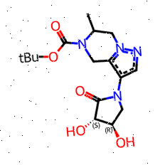 CC1Cn2ncc(N3C[C@@H](O)[C@H](O)C3=O)c2CN1C(=O)OC(C)(C)C